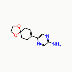 Nc1cnc(C2=CCC3(CC2)OCCO3)cn1